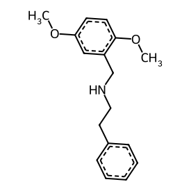 COc1ccc(OC)c(CNCCc2ccccc2)c1